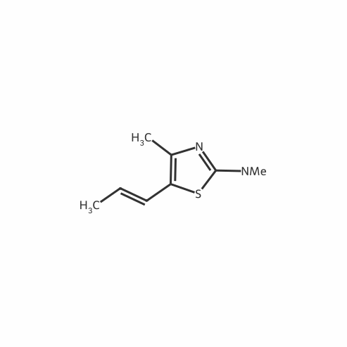 CC=Cc1sc(NC)nc1C